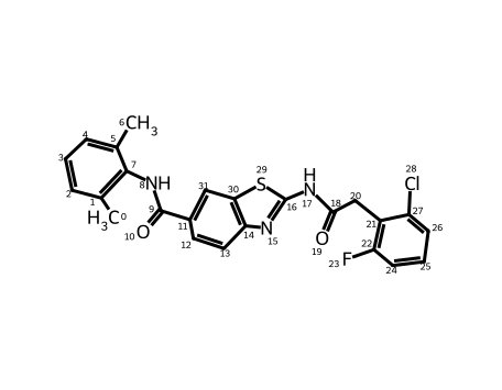 Cc1cccc(C)c1NC(=O)c1ccc2nc(NC(=O)Cc3c(F)cccc3Cl)sc2c1